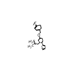 CN(C)CC1CC(OCc2ccc(F)cc2)CC=C1c1cccs1